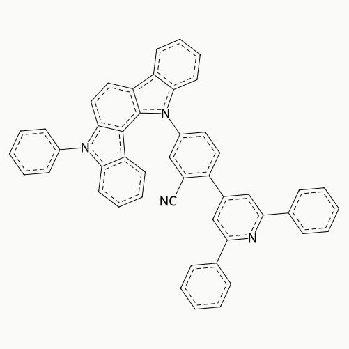 N#Cc1cc(-n2c3ccccc3c3ccc4c(c5ccccc5n4-c4ccccc4)c32)ccc1-c1cc(-c2ccccc2)nc(-c2ccccc2)c1